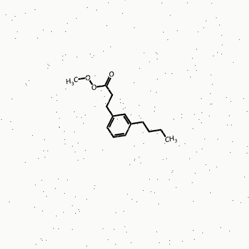 CCCCc1cccc(CCC(=O)OOC)c1